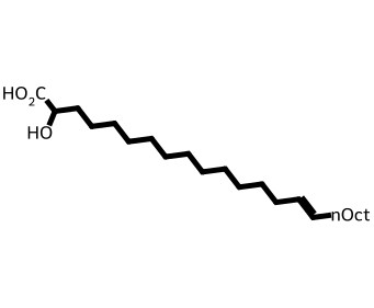 CCCCCCCCC=CCCCCCCCCCCCCC(O)C(=O)O